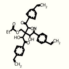 C=Cc1ccc(C(=O)C(O)C(COC(=O)CC)(C(O)C(=O)c2ccc(C=C)cc2)C(O)C(=O)c2ccc(C=C)cc2)cc1